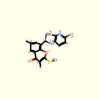 CCSc1oc2c([C@@H](C)Nc3ccc(Cl)nc3C#N)cc(C)cc2c(=O)c1C